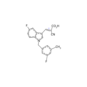 Cc1cc(F)cc(Cn2cc(/C=C(\C#N)C(=O)O)c3cc(F)ccc32)c1